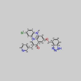 CN1c2ccc(Br)cc2-n2cc(Cc3cccnc3)c(=O)c3cc(OCc4cccc5[nH]nnc45)cc1c32